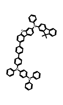 CC1(C)c2ccccc2-c2ccc(N(c3ccccc3)c3ccc4c(c3)sc3ccc(-c5ccc(-c6ccc(N(c7ccccc7)c7ccc(N(c8ccccc8)c8ccccc8)cc7)cc6)cc5)cc34)cc21